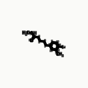 CNC(=O)CCCCc1ccc(I)c(C)c1